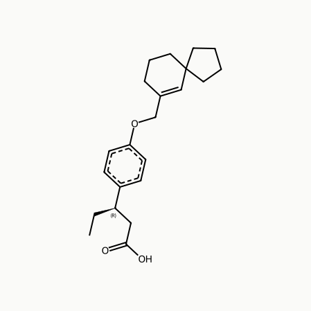 CC[C@H](CC(=O)O)c1ccc(OCC2=CC3(CCCC3)CCC2)cc1